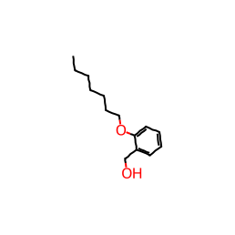 CCCCCCCOc1ccccc1CO